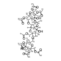 CC(=O)OCC1(C)OC(C)(COCC2(C)C(C)(COC(C)=O)OC(C)(OC(C)=O)C(C)(OC(C)=O)C2(C)O)C(C)(OC(C)=O)C(C)(O)C1(C)COCC1(C)OC(C)(COC(C)=O)C(C)(OC(C)=O)C(C)(O)C1(C)OC(C)=O